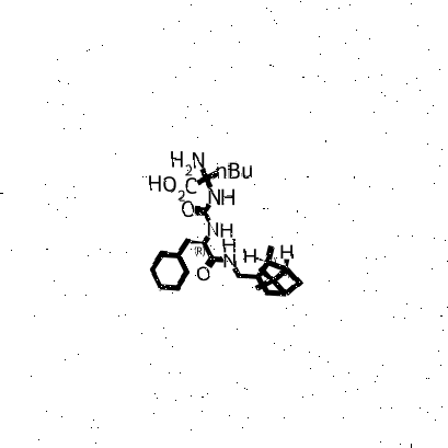 CCCCC(N)(NC(=O)N[C@H](CC1CCCCC1)C(=O)NCC1CC2C[C@@H]([C@@H]1C)C2(C)C)C(=O)O